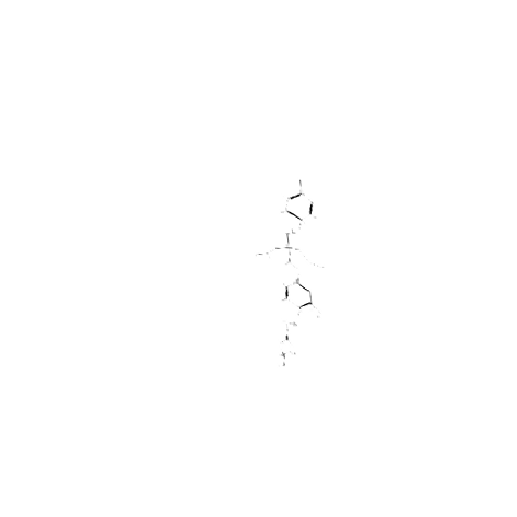 CCCC(CCC)(COc1ccc(C)cc1)CSc1ccc(OCC2OC(C)O2)c(C)c1